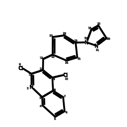 Clc1nc2ccccc2c(Cl)c1Cc1ccc(-n2cccn2)cc1